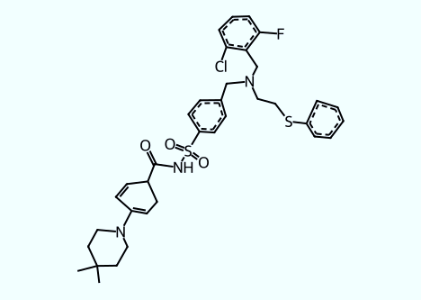 CC1(C)CCN(C2=CCC(C(=O)NS(=O)(=O)c3ccc(CN(CCSc4ccccc4)Cc4c(F)cccc4Cl)cc3)C=C2)CC1